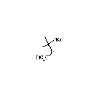 CCCCC(C)(C)OC(=O)OCC